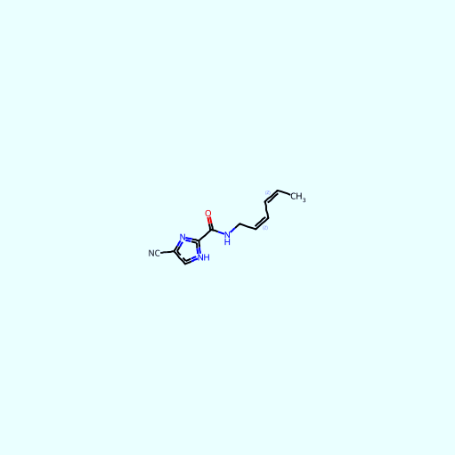 C/C=C\C=C/CNC(=O)c1nc(C#N)c[nH]1